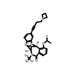 [2H]C([2H])([2H])N1C(=O)c2cccc(OC(F)F)c2[C@H]2C[C@@H]1c1nc3ccc(C#CCCN4CCC4)cc3n12